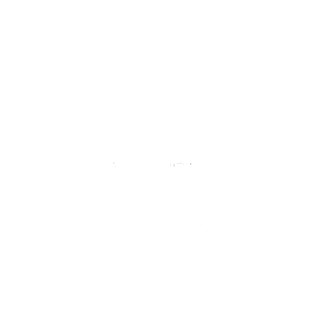 CCCCCCC(Cc1ccccc1)(C(C)=O)c1ccccc1